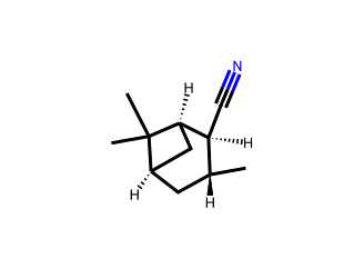 C[C@@H]1C[C@@H]2C[C@H]([C@H]1C#N)C2(C)C